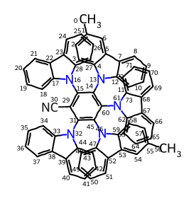 Cc1ccc2c(c1)c1ccccc1n2-c1c(-n2c3ccccc3c3ccccc32)c(C#N)c(-n2c3ccccc3c3ccccc32)c(-n2c3ccccc3c3cc(C)ccc32)c1-n1c2ccccc2c2ccccc21